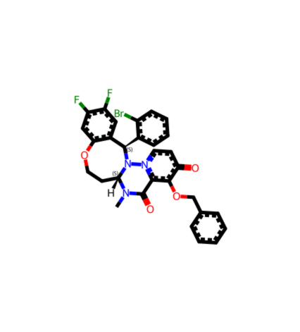 CN1C(=O)c2c(OCc3ccccc3)c(=O)ccn2N2[C@H](c3ccccc3Br)c3cc(F)c(F)cc3OCC[C@@H]12